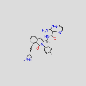 Cc1ccc(-n2c([C@@H](C)NC(=O)c3c(N)nn4cccnc34)cc3cccc(C#Cc4cnn(C)c4)c3c2=O)cc1